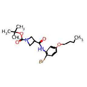 CCCCOc1ccc(Br)c(NC(=O)C2CN(C(=O)OC(C)(C)C)C2)c1